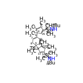 CC1=C(C)C(C)(C2=CC[C]([Ti])(C3(C)C=C([Si](C)(C)NC(C)(C)C)C(C)=C3C)C=C2)C=C1[Si](C)(C)NC(C)(C)C